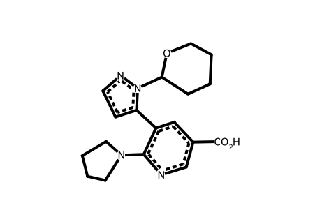 O=C(O)c1cnc(N2CCCC2)c(-c2ccnn2C2CCCCO2)c1